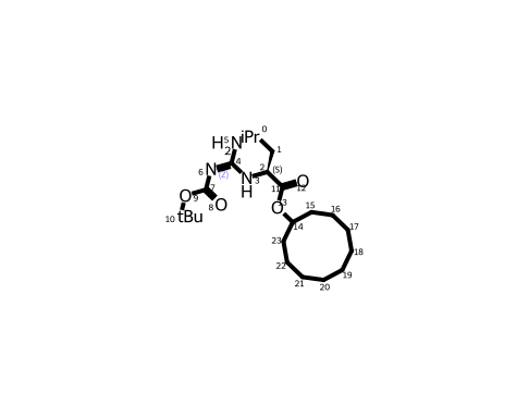 CC(C)C[C@H](N/C(N)=N\C(=O)OC(C)(C)C)C(=O)OC1CCCCCCCCC1